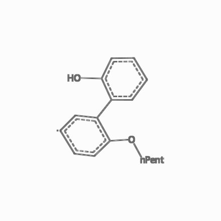 CCCCCOc1cc[c]cc1-c1ccccc1O